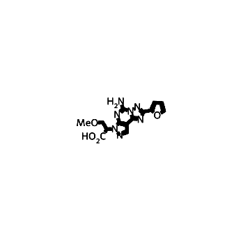 COCC(C(=O)O)n1ncc2c1nc(N)n1nc(-c3ccco3)nc21